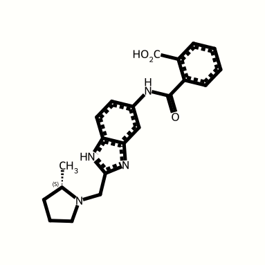 C[C@H]1CCCN1Cc1nc2cc(NC(=O)c3ccccc3C(=O)O)ccc2[nH]1